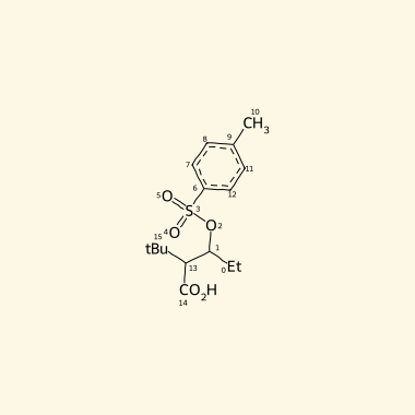 CCC(OS(=O)(=O)c1ccc(C)cc1)C(C(=O)O)C(C)(C)C